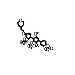 COc1cc(-c2ccc(OS(C)(=O)=O)cc2)c(OC)c(OS(C)(=O)=O)c1-c1ccc(OCC=C2CCOCC2)c(OS(C)(=O)=O)c1